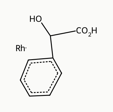 O=C(O)C(O)c1ccccc1.[Rh]